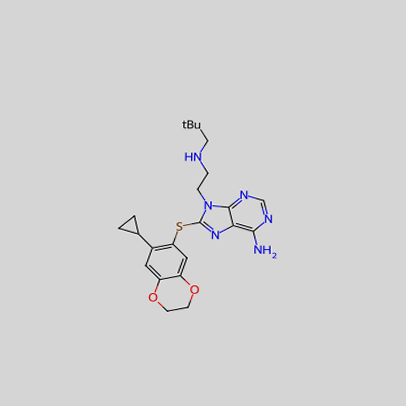 CC(C)(C)CNCCn1c(Sc2cc3c(cc2C2CC2)OCCO3)nc2c(N)ncnc21